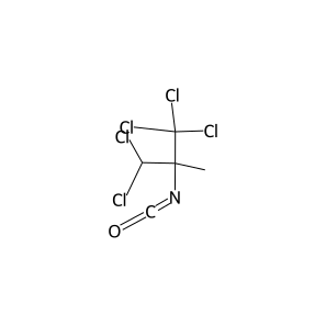 CC(N=C=O)(C(Cl)Cl)C(Cl)(Cl)Cl